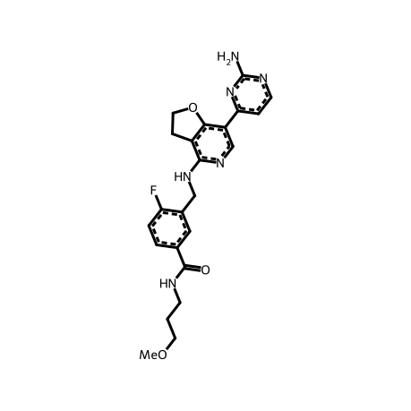 COCCCNC(=O)c1ccc(F)c(CNc2ncc(-c3ccnc(N)n3)c3c2CCO3)c1